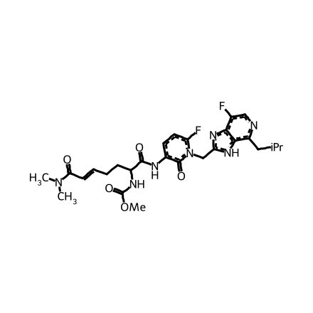 COC(=O)NC(CCC=CC(=O)N(C)C)C(=O)Nc1ccc(F)n(Cc2nc3c(F)cnc(CC(C)C)c3[nH]2)c1=O